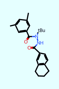 Cc1cc(C)cc(C(=O)N(NC(=O)c2ccc3c(c2)CCCC3)C(C)(C)C)c1